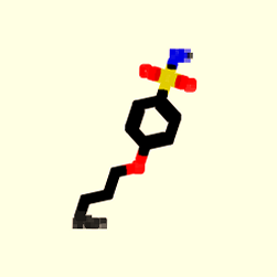 CCCCCCCCCCCCOc1ccc(S([NH])(=O)=O)cc1